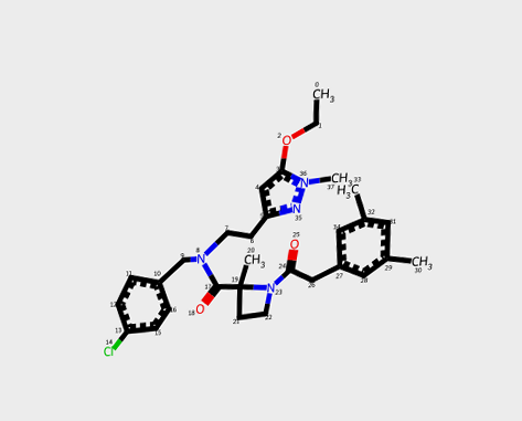 CCOc1cc(CCN(Cc2ccc(Cl)cc2)C(=O)C2(C)CCN2C(=O)Cc2cc(C)cc(C)c2)nn1C